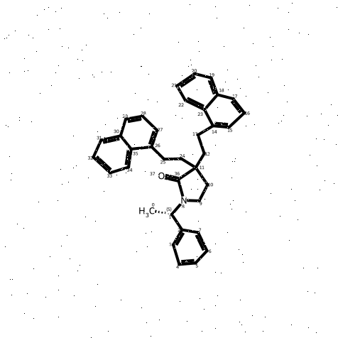 C[C@@H](c1ccccc1)N1CCC(CCc2cccc3ccccc23)(CCc2cccc3ccccc23)C1=O